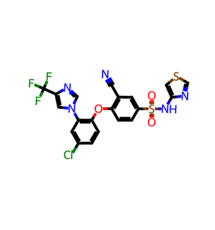 N#Cc1cc(S(=O)(=O)Nc2cscn2)ccc1Oc1ccc(Cl)cc1-n1cnc(C(F)(F)F)c1